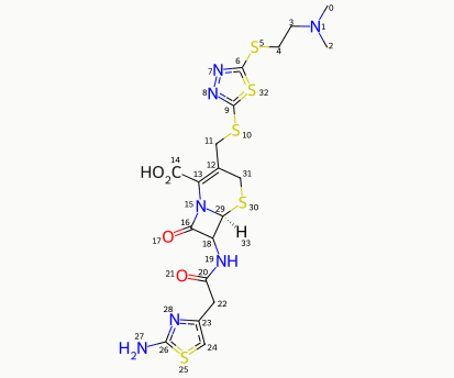 CN(C)CCSc1nnc(SCC2=C(C(=O)O)N3C(=O)C(NC(=O)Cc4csc(N)n4)[C@@H]3SC2)s1